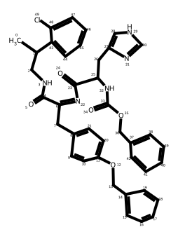 CC(CNC(=O)C(Cc1ccc(OCc2ccccc2)cc1)=NC(=O)C(Cc1c[nH]cn1)NC(=O)OCc1ccccc1)c1ccccc1Cl